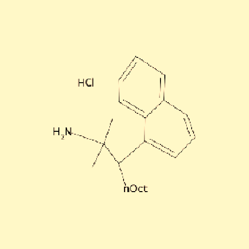 CCCCCCCCC(c1cccc2ccccc12)C(C)(C)N.Cl